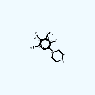 Nc1c(F)c(N2CCOCC2)cc(F)c1[N+](=O)[O-]